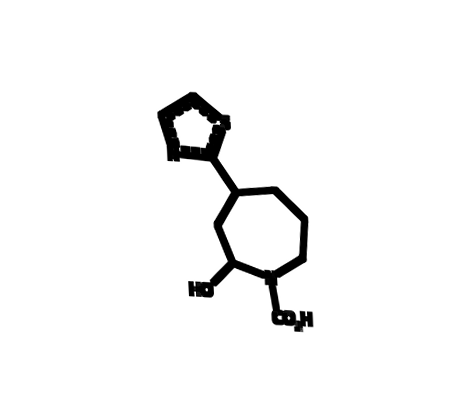 O=C(O)N1CCCC(c2nccs2)CC1O